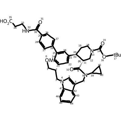 COCCCn1cc(CN(C(=O)[C@H]2CN(C(=O)OC(C)(C)C)CC[C@@H]2c2cccc(-c3ccc(C(=O)NCCC(=O)O)cc3)c2)C2CC2)c2ccccc21